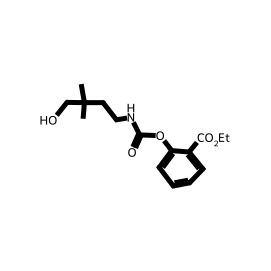 CCOC(=O)c1ccccc1OC(=O)NCCC(C)(C)CO